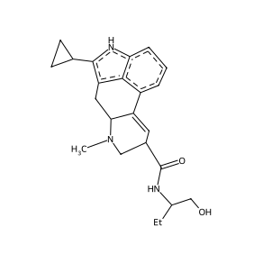 CCC(CO)NC(=O)C1C=C2c3cccc4[nH]c(C5CC5)c(c34)CC2N(C)C1